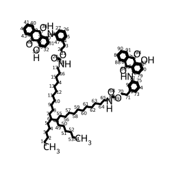 CCCCCCC(CCCCCCCCCCCNC(=O)OCCc1cccc(Nc2ccc(O)c3c2C(=O)c2ccccc2C3=O)c1)C(CCCCCC)CCCCCCCCCCCNC(=O)OCCc1cccc(Nc2ccc(O)c3c2C(=O)c2ccccc2C3=O)c1